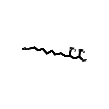 CCCCCCCCCCCCCCCCCCC(N)CC(N)CCC